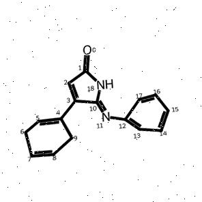 O=C1C=C(C2=CCC=CC2)C(=Nc2ccccc2)N1